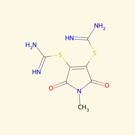 CN1C(=O)C(SC(=N)N)=C(SC(=N)N)C1=O